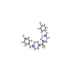 Cc1ccc(CN2CCN(C(=O)N3CCN(Cc4ccc(C)cc4)CC3)CC2)cc1